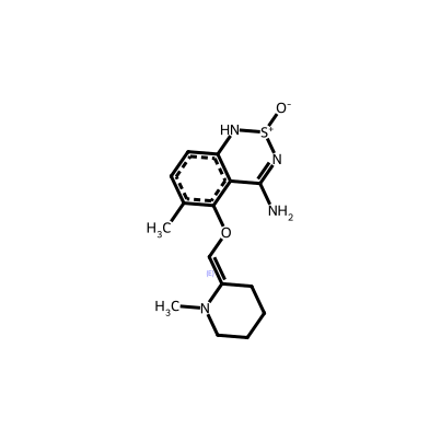 Cc1ccc2c(c1O/C=C1\CCCCN1C)C(N)=N[S+]([O-])N2